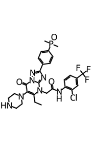 CCc1c(N2CCNCC2)c(=O)n2nc(-c3ccc(P(C)(C)=O)cc3)nc2n1CC(=O)Nc1ccc(C(F)(F)F)cc1Cl